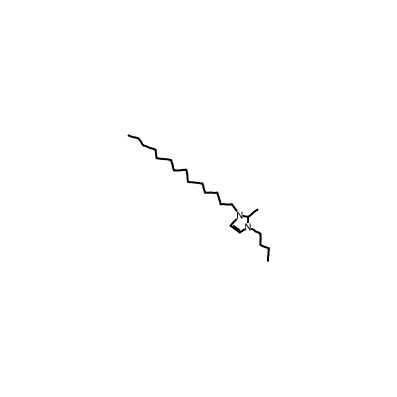 CCCCCCCCCCCCCCN1C=CN(CCCC)C1C